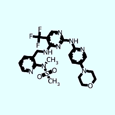 CN(c1ncccc1CNc1nc(Nc2ccc(N3CCOCC3)cn2)ncc1C(F)(F)F)S(C)(=O)=O